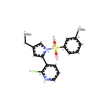 CNCc1cc(-c2cccnc2F)n(S(=O)(=O)c2cccc(OC)c2)c1